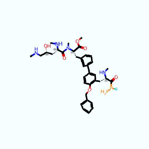 CNC[C@H](O)C[C@H](NC)C(=O)N(C)[C@@H](Cc1cccc(-c2ccc(OCc3ccccc3)c(C[C@H](NC)C(=O)P(F)P)c2)c1)C(=O)OC